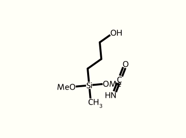 CO[Si](C)(CCCO)OC.N=C=O